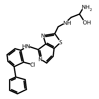 NC(O)CNCc1nc2c(Nc3cccc(-c4ccccc4)c3Cl)nccc2s1